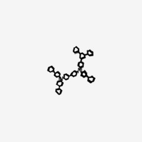 C1=CCCC(C2=CC(C3C=CC(N(C4=CC=C(C5=CC=C(N(C6=CCC(C7=CCCC=C7)C=C6)C6C=CC(C7C=CC=CC7)=CC6)CC5)CC4)c4ccc(C5C=CC=CC5)cc4)=CC3)=CC(C3C=CC=CC3)C2)=C1